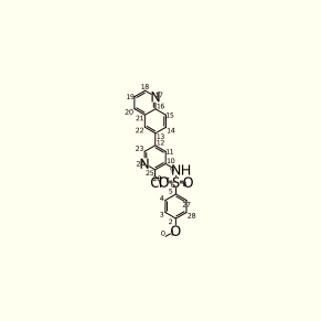 COc1ccc(S(=O)(=O)Nc2cc(-c3ccc4ncccc4c3)cnc2Cl)cc1